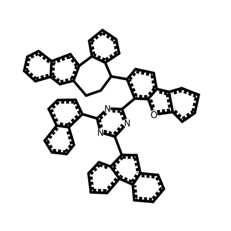 c1ccc2c(c1)-c1cc3ccccc3cc1CCC2c1ccc2c(oc3ccccc32)c1-c1nc(-c2cccc3ccccc23)nc(-c2cc3ccccc3c3ccccc23)n1